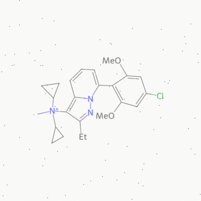 CCc1nn2c(-c3c(OC)cc(Cl)cc3OC)cccc2c1[N+](C)(C1CC1)C1CC1